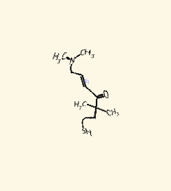 CN(C)C/C=C/C(=O)C(C)(C)CCS